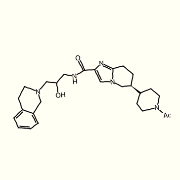 CC(=O)N1CCC([C@@H]2CCc3nc(C(=O)NCC(O)CN4CCc5ccccc5C4)cn3C2)CC1